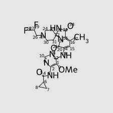 COc1c(NC(=O)C2CC2)ncnc1Nc1cc(C)c2n(c1=O)C1(CCN(CC(F)F)CC1)NC2=O